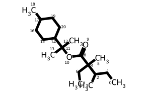 CCC(C)C(C)(CC)C(=O)OC(C)(C)C1CCC(C)CC1